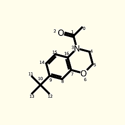 CC(=O)N1CCOc2cc(C(C)(C)C)ccc21